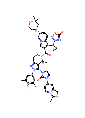 Cc1cc(-n2nc3c(c2-n2ccn(-c4ccn5c(C)ncc5c4)c2=O)[C@H](C)N(C(=O)c2cn4cc([C@@H]5CCOC(C)(C)C5)ccc4c2C2(c4noc(=O)[nH]4)CC2)CC3)cc(C)c1F